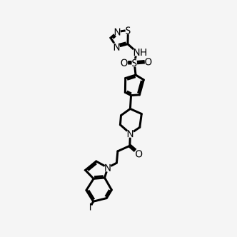 O=C(CCn1ccc2cc(I)ccc21)N1CCC(c2ccc(S(=O)(=O)Nc3ncns3)cc2)CC1